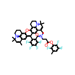 CC1=CC(C)(C)N2CCCc3c4c(cc1c32)C(c1c(F)c(F)c(F)c(F)c1C(=O)N(C)CCC(=O)Oc1c(F)c(C)cc(F)c1F)=c1cc2c3c(c1O4)CCC[N+]=3C(C)(C)C=C2C